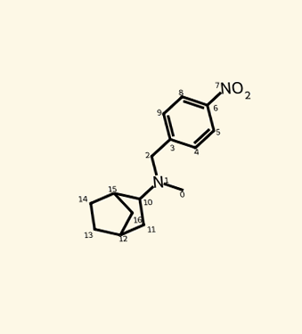 CN(Cc1ccc([N+](=O)[O-])cc1)C1CC2CCC1C2